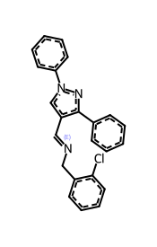 Clc1ccccc1C/N=C/c1cn(-c2ccccc2)nc1-c1ccccc1